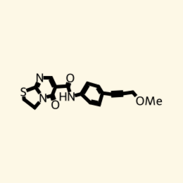 COCC#Cc1ccc(NC(=O)c2cnc3n(c2=O)CCS3)cc1